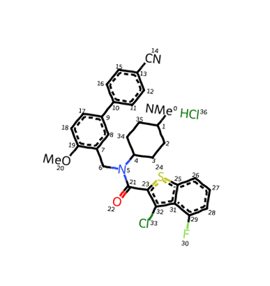 CNC1CCC(N(Cc2cc(-c3ccc(C#N)cc3)ccc2OC)C(=O)c2sc3cccc(F)c3c2Cl)CC1.Cl